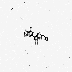 Fc1cc(-c2c[nH]c3nc(CC4CCC4)ncc23)cn2ncnc12